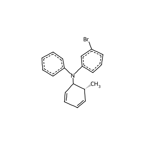 C[C@@H]1C=CC=CC1N(c1ccccc1)c1cccc(Br)c1